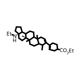 CCN[C@]12CCCC1C1CCC3C4(C)CC=C(C5=CCC(C(=O)OCC)CC5)C(C)C4CCC3(C)[C@]1(C)CC2